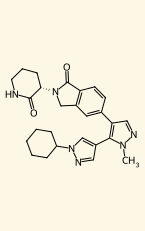 Cn1ncc(-c2ccc3c(c2)CN([C@H]2CCCNC2=O)C3=O)c1-c1cnn(C2CCCCC2)c1